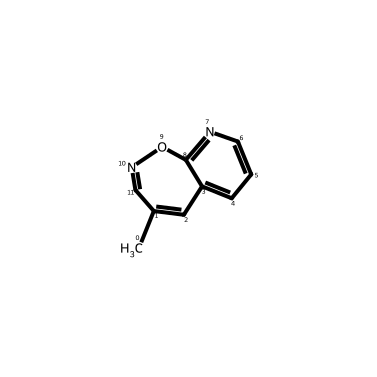 CC1=Cc2cccnc2ON=C1